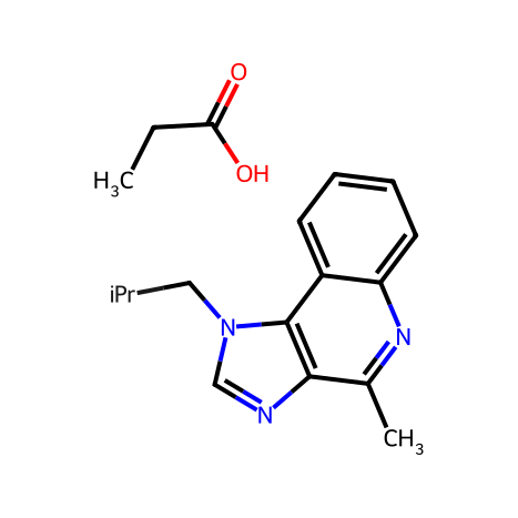 CCC(=O)O.Cc1nc2ccccc2c2c1ncn2CC(C)C